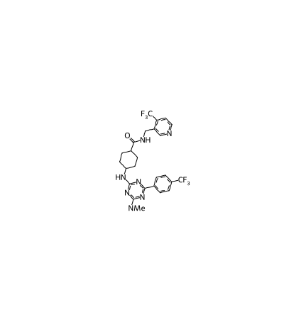 CNc1nc(NC2CCC(C(=O)NCc3cnccc3C(F)(F)F)CC2)nc(-c2ccc(C(F)(F)F)cc2)n1